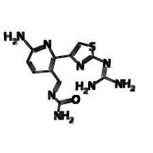 NC(=O)/N=C/c1ccc(N)nc1-c1csc(N=C(N)N)n1